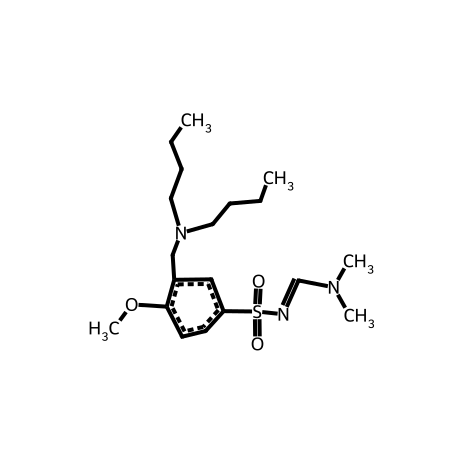 CCCCN(CCCC)Cc1cc(S(=O)(=O)N=CN(C)C)ccc1OC